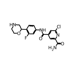 NC(=O)c1cc(C(=O)Nc2ccc(C3CNCCO3)c(F)c2)cc(Cl)n1